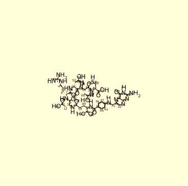 N=C(N)NCCC[C@@H](NC(=O)[C@@H](CC(=O)O)NC(=O)CC[C@@H](NC(=O)c1ccc(NCc2cnc3nc(N)[nH]c(=O)c3n2)cc1)C(=O)O)C(=O)N[C@H](CC(=O)O)C(=O)N[C@@H](CC(=O)O)C(=O)N[C@@H](CS)C(=O)O